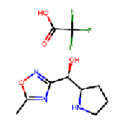 Cc1nc([C@@H](O)C2CCCN2)no1.O=C(O)C(F)(F)F